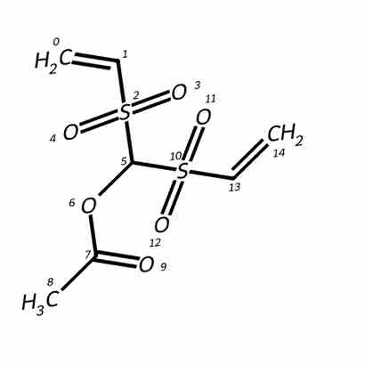 C=CS(=O)(=O)C(OC(C)=O)S(=O)(=O)C=C